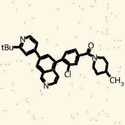 CC1CCN(C(=O)c2ccc(-c3cc(-c4ccnc(C(C)(C)C)c4)cc4cnccc34)c(Cl)c2)CC1